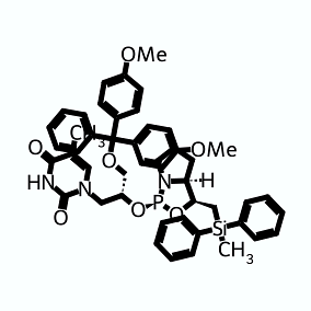 COc1ccc(C(OC[C@@H](Cn2cc(C)c(=O)[nH]c2=O)O[P@]2O[C@H](C[Si](C)(c3ccccc3)c3ccccc3)[C@@H]3CCCN32)(c2ccccc2)c2ccc(OC)cc2)cc1